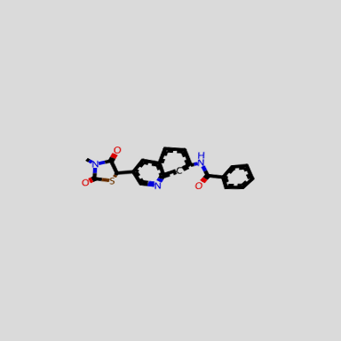 CN1C(=O)SC(c2cnc3cc(NC(=O)c4ccccc4)ccc3c2)C1=O